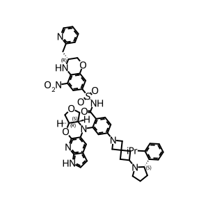 CC(C)c1ccccc1[C@@H]1CCCN1C1CC2(C1)CN(c1ccc(C(=O)NS(=O)(=O)c3cc4c(c([N+](=O)[O-])c3)N[C@H](Cc3ccccn3)CO4)c(N3c4cc5cc[nH]c5nc4O[C@H]4COC[C@@H]43)c1)C2